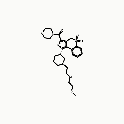 COCCNCCN1CCC[C@H](n2nc(C(=O)N3CCOCC3)c3c2-c2ccccc2S(=O)(=O)C3)C1